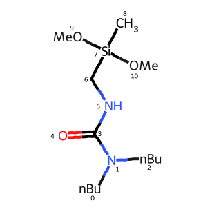 CCCCN(CCCC)C(=O)NC[Si](C)(OC)OC